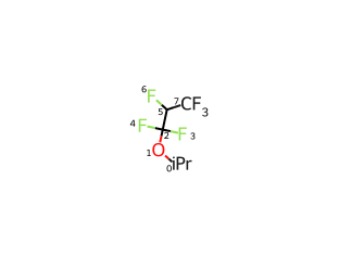 [CH2]C(C)OC(F)(F)C(F)C(F)(F)F